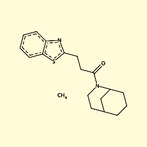 C.O=C(CCc1nc2ccccc2s1)N1CCC2CCCC1C2